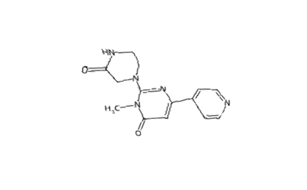 Cn1c(N2CCNC(=O)C2)nc(-c2ccncc2)cc1=O